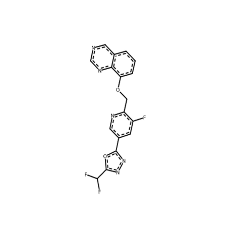 Fc1cc(-c2nnc(C(F)F)o2)cnc1COc1cccc2cncnc12